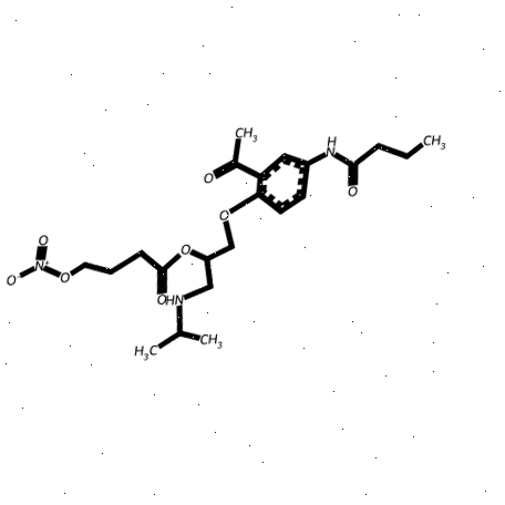 CCCC(=O)Nc1ccc(OCC(CNC(C)C)OC(=O)CCCO[N+](=O)[O-])c(C(C)=O)c1